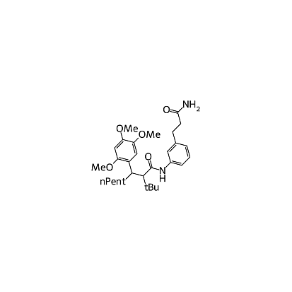 CCCCCC(c1cc(OC)c(OC)cc1OC)C(C(=O)Nc1cccc(CCC(N)=O)c1)C(C)(C)C